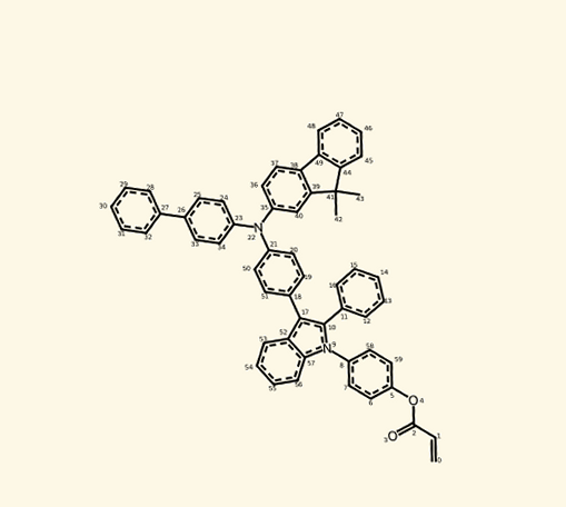 C=CC(=O)Oc1ccc(-n2c(-c3ccccc3)c(-c3ccc(N(c4ccc(-c5ccccc5)cc4)c4ccc5c(c4)C(C)(C)c4ccccc4-5)cc3)c3ccccc32)cc1